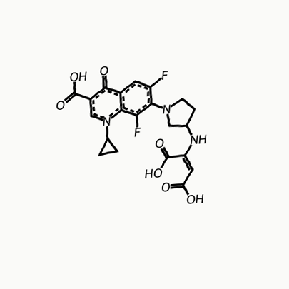 O=C(O)/C=C(/NC1CCN(c2c(F)cc3c(=O)c(C(=O)O)cn(C4CC4)c3c2F)C1)C(=O)O